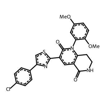 COc1ccc(OC)c(-n2c3c(cc(-c4nc(-c5ccc(Cl)cc5)cs4)c2=O)C(=O)NCC3)c1